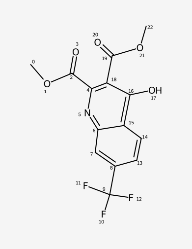 COC(=O)c1nc2cc(C(F)(F)F)ccc2c(O)c1C(=O)OC